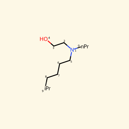 CCCN(CCO)CCCCC(C)C